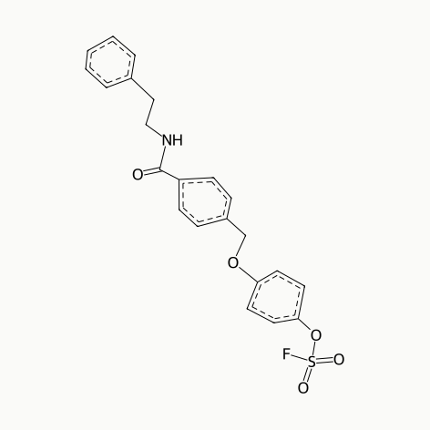 O=C(NCCc1ccccc1)c1ccc(COc2ccc(OS(=O)(=O)F)cc2)cc1